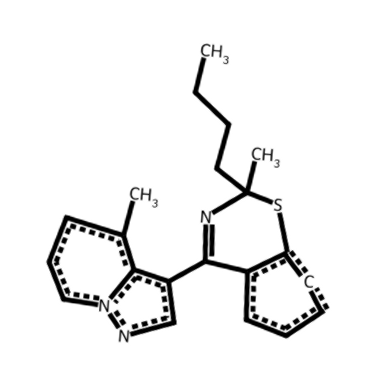 CCCCC1(C)N=C(c2cnn3cccc(C)c23)c2ccccc2S1